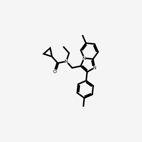 CCN(Cc1c(-c2ccc(C)cc2)nc2ccc(C)cn12)C(=O)C1CC1